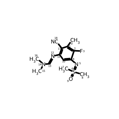 Cc1c(F)c(N=S(C)(C)=O)cc(/N=C/N(C)C)c1C#N